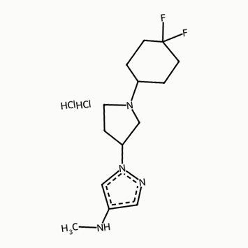 CNc1cnn(C2CCN(C3CCC(F)(F)CC3)C2)c1.Cl.Cl